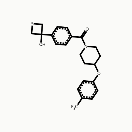 O=C(c1ccc(C2(O)CSC2)cc1)N1CCC(Oc2ccc(C(F)(F)F)cc2)CC1